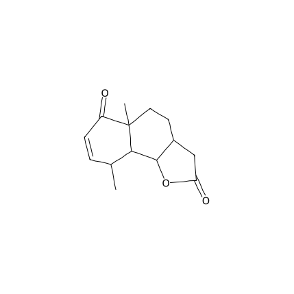 CC1C=CC(=O)C2(C)CCC3CC(=O)OC3C12